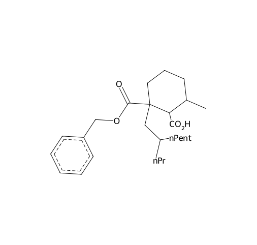 CCCCCC(CCC)CC1(C(=O)OCc2ccccc2)CCCC(C)C1C(=O)O